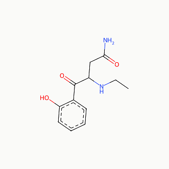 CCNC(CC(N)=O)C(=O)c1ccccc1O